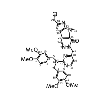 COc1ccc(CN(Cc2ccc(OC)c(OC)c2)c2nccc(Cn3ncc4c5sc(CCl)nc5n(C)c4c3=O)n2)cc1OC